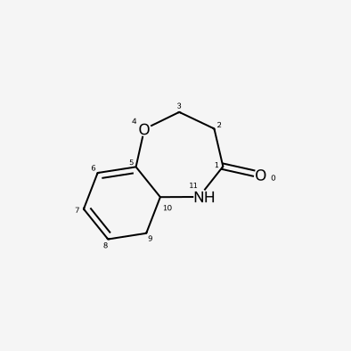 O=C1CCOC2=CC=CCC2N1